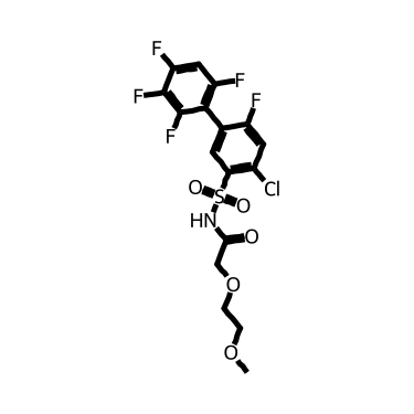 COCCOCC(=O)NS(=O)(=O)c1cc(-c2c(F)cc(F)c(F)c2F)c(F)cc1Cl